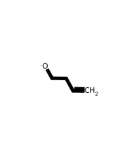 C=CCC[O]